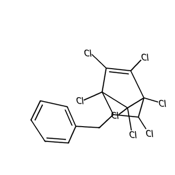 ClC1=C(Cl)C2(Cl)C(Cc3ccccc3)C(Cl)C1(Cl)C2(Cl)Cl